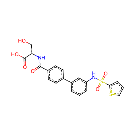 O=C(NC(CO)C(=O)O)c1ccc(-c2cccc(NS(=O)(=O)c3cccs3)c2)cc1